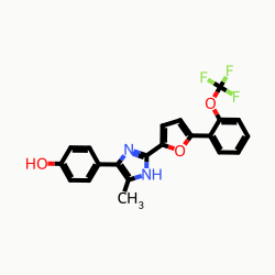 Cc1[nH]c(-c2ccc(-c3ccccc3OC(F)(F)F)o2)nc1-c1ccc(O)cc1